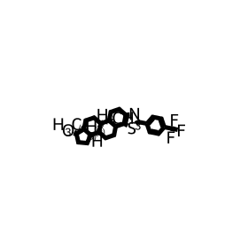 C[C@]12CCc3nc(-c4ccc(C(F)(F)F)cc4)sc3C1CC[C@@H]1[C@@H]2CC[C@]2(C)C(=O)CC[C@@H]12